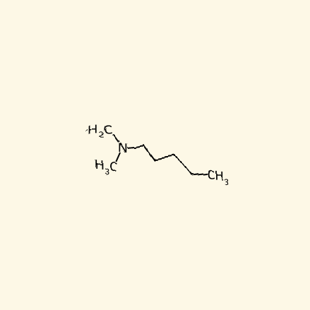 [CH2]N(C)CCCCC